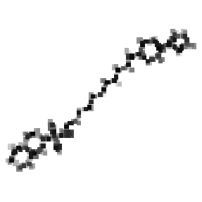 O=S(=O)(NCCCCCCCCCCOc1ccc(-n2ccnc2)cc1)c1ccc2ccccc2c1